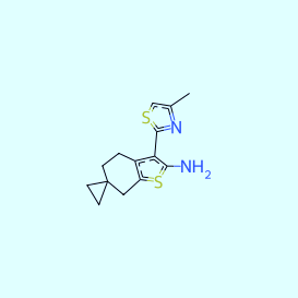 Cc1csc(-c2c(N)sc3c2CCC2(CC2)C3)n1